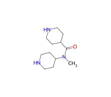 CN(C(=O)C1CCNCC1)C1CCNCC1